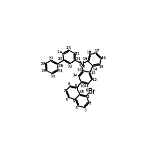 Brc1cccc2cccc(-c3ccc4c5ccccc5n(-c5cccc(-c6ccccc6)c5)c4c3)c12